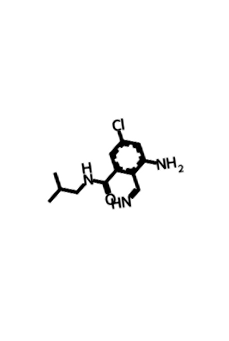 CC(C)CNC(=O)c1cc(Cl)cc(N)c1C=N